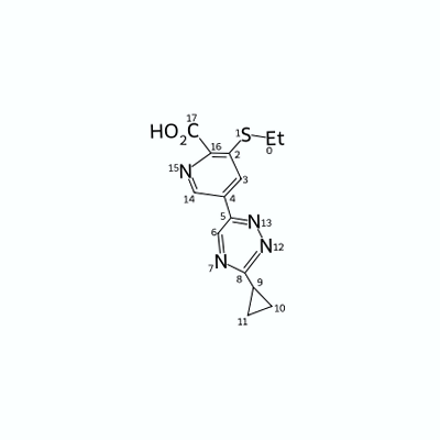 CCSc1cc(-c2cnc(C3CC3)nn2)cnc1C(=O)O